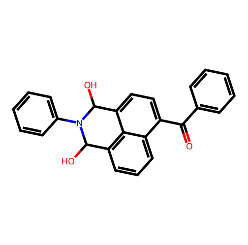 O=C(c1ccccc1)c1ccc2c3c(cccc13)C(O)N(c1ccccc1)C2O